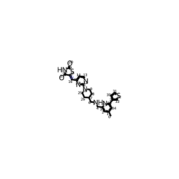 Cc1cc(CNCC2CCN(c3nccc(/C=C4\SC(=O)NC4=O)n3)CC2)nc(-c2ccsc2)c1